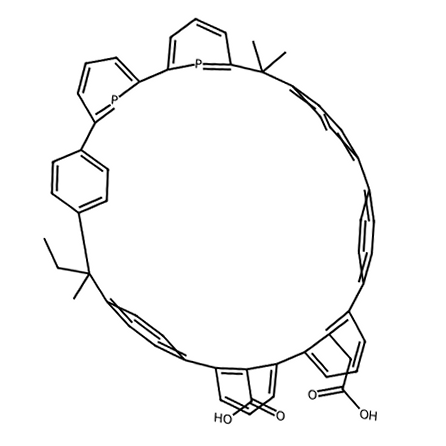 CCC1(C)c2ccc(cc2)-c2cccc(p2)-c2cccc(p2)C(C)(C)c2ccc(cc2)-c2ccc(cc2)-c2cccc(c2CC(=O)O)-c2cccc(c2C(=O)O)-c2ccc1cc2